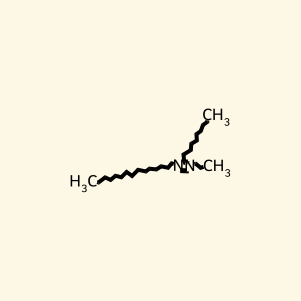 CCCCCCCCCCCCCCC[n+]1ccn(CCC)c1CCCCCCCCC